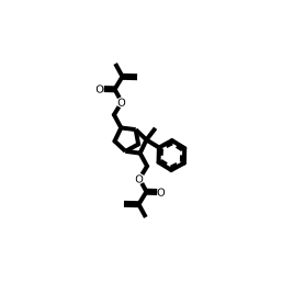 C=C(C)C(=O)OCC1CC2CC1C(C)(c1ccccc1)C2COC(=O)C(=C)C